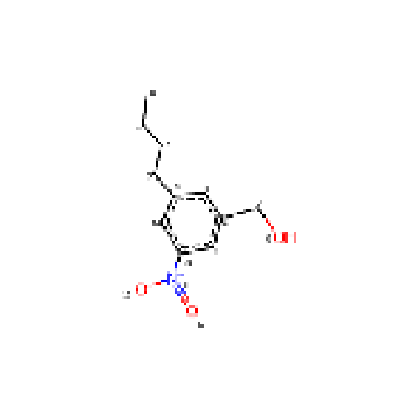 CCCCc1cc(CO)cc([N+](=O)[O-])c1